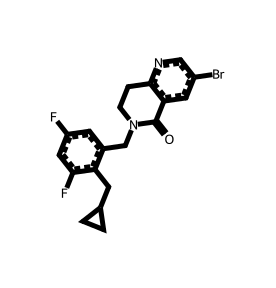 O=C1c2cc(Br)cnc2CCN1Cc1cc(F)cc(F)c1CC1CC1